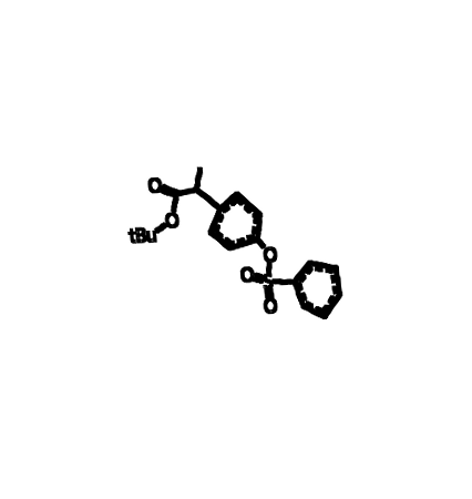 CC(C(=O)OC(C)(C)C)c1ccc(OS(=O)(=O)c2ccccc2)cc1